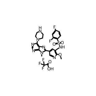 COc1ncc(-c2nc3c(N4CCNCC4)ncnc3n2C)cc1NS(=O)(=O)c1ccc(F)cc1F.O=C(O)C(F)(F)F